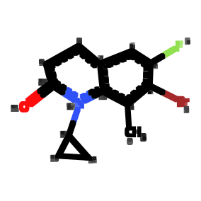 Cc1c(Br)c(F)cc2ccc(=O)n(C3CC3)c12